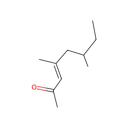 CCC(C)CC(C)=CC(C)=O